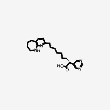 O=C(O)[C@H](CCCCCCCc1ccc2c(n1)NCCCC2)c1cncnc1